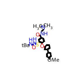 COc1ccc(-c2cccc(Oc3ccc(C(=O)NCCN(C)C)cc3SNC(=O)NC(C)(C)C)c2)cc1